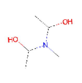 CC(O)N(C)C(C)O